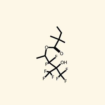 CCC(C)(C)C(=O)OC(C)C(F)(F)C(O)(C(F)(F)F)C(F)(F)F